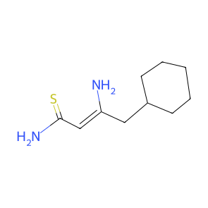 NC(=S)C=C(N)CC1CCCCC1